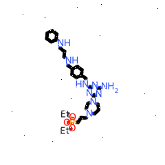 CCOP(=O)(CCCN1CCCN(c2nc(N)nc(NCC3CCC(CNCCCNC4CCCCC4)CC3)n2)CC1)OCC